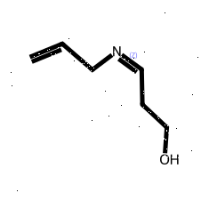 C=CC/N=C\CCO